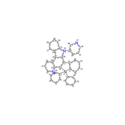 c1ccc([Si]2(c3ccccc3)c3ccccc3-c3c2c2ncccc2c2c4ccccc4n(-c4cccnc4)c32)cc1